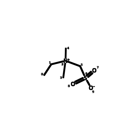 CC[N+](C)(C)CS(=O)(=O)[O-]